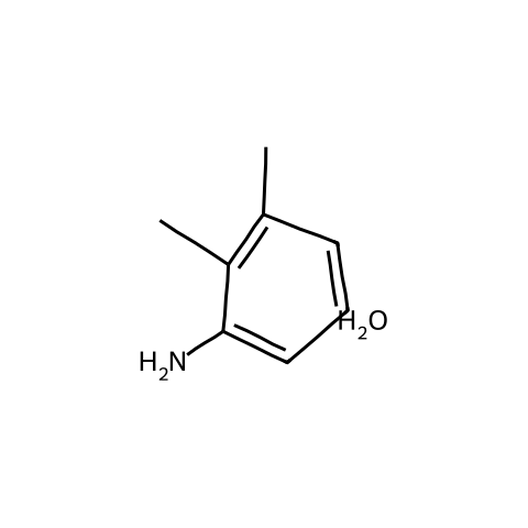 Cc1cccc(N)c1C.O